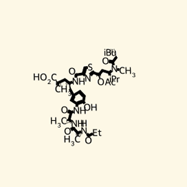 CCC(=O)N[C@@H](C)C(=O)N[C@@H](C)C(=O)Nc1cc(C[C@@H](C[C@H](C)C(=O)O)NC(=O)c2csc([C@@H](CC(C(C)C)N(C)C(=O)C[C@@H](C)CC)OC(C)=O)n2)ccc1O